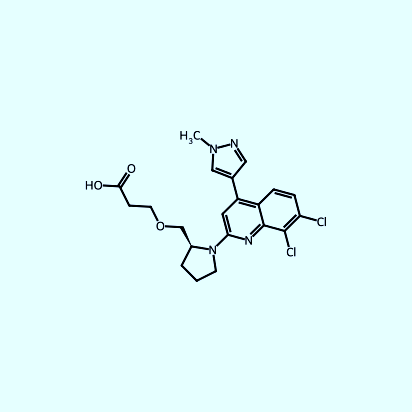 Cn1cc(-c2cc(N3CCC[C@H]3COCCC(=O)O)nc3c(Cl)c(Cl)ccc23)cn1